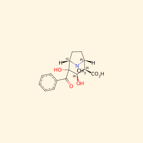 CN1[C@@H]2CC[C@H]1C(O)(C(=O)c1ccccc1)[C@H](O)[C@@H]2C(=O)O